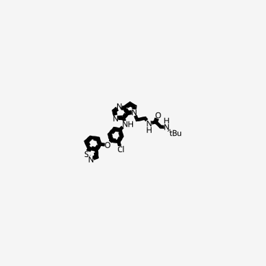 CC(C)(C)NCC(=O)NCCn1ccc2ncnc(Nc3ccc(Oc4cccc5sncc45)c(Cl)c3)c21